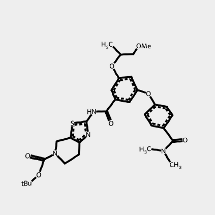 COCC(C)Oc1cc(Oc2ccc(C(=O)N(C)C)cc2)cc(C(=O)Nc2nc3c(s2)CN(C(=O)OC(C)(C)C)CC3)c1